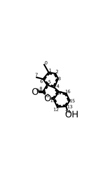 Cc1ccc2c(c1C)c(=O)oc1cc(O)ccc12